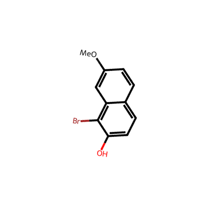 COc1ccc2ccc(O)c(Br)c2c1